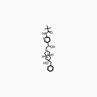 CC(C)(C)C(=O)Nc1ccc(C(O)CN2C[C@@H]3C[C@@](O)(Cc4ccccc4)C[C@@H]3C2)cn1